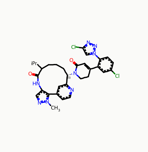 CC(C)C1CCC[C@H](N2CCC(c3cc(Cl)ccc3-n3cc(Cl)nn3)=CC2=O)c2cc(ccn2)-c2c(cnn2C)NC1=O